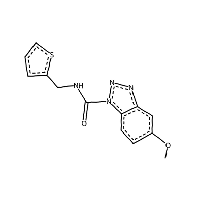 COc1ccc2c(c1)nnn2C(=O)NCc1cccs1